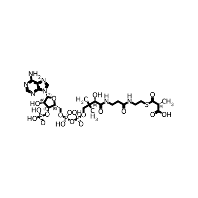 C[C@H](C(=O)O)C(=O)SCCNC(=O)CCNC(=O)[C@H](O)C(C)(C)COP(=O)(O)OP(=O)(O)OC[C@H]1O[C@@H](n2cnc3c(N)ncnc32)[C@H](O)[C@@H]1OP(=O)(O)O